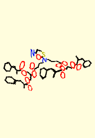 CC(CC1CCCCC1)C(=O)OCC(COC(=O)C(C)CC1CCCCC1)OC(=O)CCCN(CCCC(=O)OC(COC(=O)C(C)CC1CCCCC1)COC(=O)C(C)CC1CCCCC1)C(=O)SCCCN(C)C